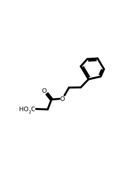 O=C(O)CC(=O)OCCc1ccccc1